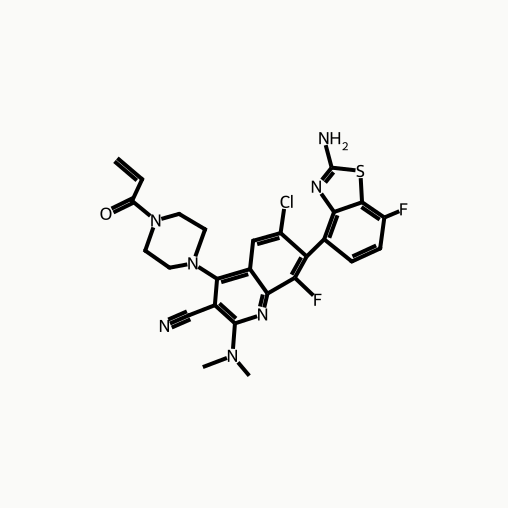 C=CC(=O)N1CCN(c2c(C#N)c(N(C)C)nc3c(F)c(-c4ccc(F)c5sc(N)nc45)c(Cl)cc23)CC1